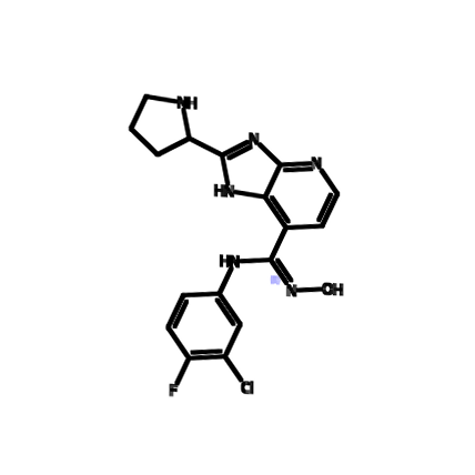 O/N=C(/Nc1ccc(F)c(Cl)c1)c1ccnc2nc(C3CCCN3)[nH]c12